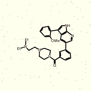 CCN(CC)CCN1CCN(C(=O)c2cccc(-c3cnc4[nH]cc(-c5ccccc5OC)c4c3)c2)CC1